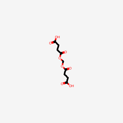 O=C(O)CCC(=O)OCOC(=O)CCC(=O)O